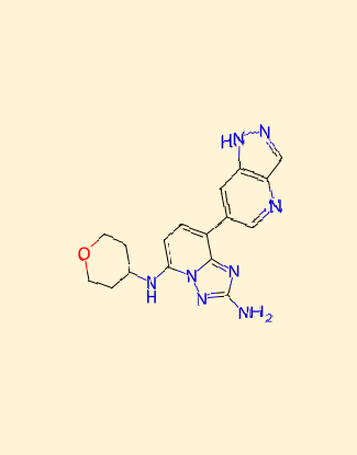 Nc1nc2c(-c3cnc4cn[nH]c4c3)ccc(NC3CCOCC3)n2n1